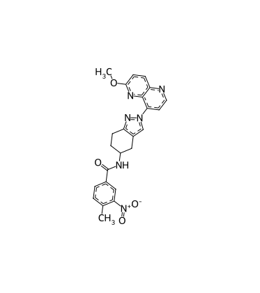 COc1ccc2nccc(-n3cc4c(n3)CCC(NC(=O)c3ccc(C)c([N+](=O)[O-])c3)C4)c2n1